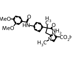 COc1ccc(C(=O)Nc2ccc(C(C)(Cc3nc(C(=O)O)cn3C)C(N)=O)cc2)cc1OC